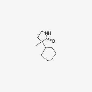 CC1(C2CCCCC2)CCNC1=O